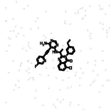 CCc1cccc(-n2c(C(C)Nc3ncnc(N)c3C#Cc3ccc(F)cn3)nc3cccc(Cl)c3c2=O)c1